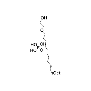 CCCCCCCC/C=C/CCCCCCCCOCCO.O=P(O)(O)O